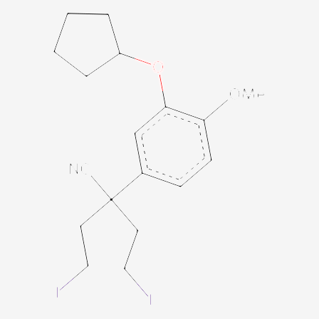 COc1ccc(C(C#N)(CCI)CCI)cc1OC1CCCC1